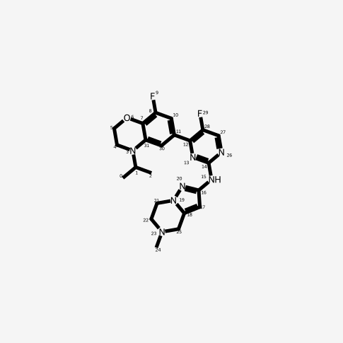 CC(C)N1CCOc2c(F)cc(-c3nc(Nc4cc5n(n4)CCN(C)C5)ncc3F)cc21